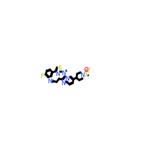 CN(c1nc(-c2ccc(F)cc2)cs1)c1c(CCC#N)nc2ccc(C3CCN([S+](C)[O-])CC3)cn12